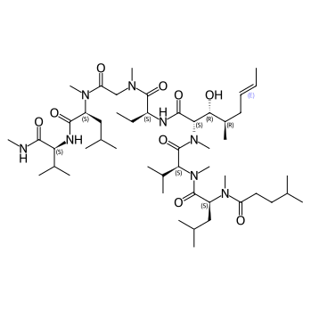 C/C=C/C[C@@H](C)[C@@H](O)[C@@H](C(=O)N[C@@H](CC)C(=O)N(C)CC(=O)N(C)[C@@H](CC(C)C)C(=O)N[C@H](C(=O)NC)C(C)C)N(C)C(=O)[C@H](C(C)C)N(C)C(=O)[C@H](CC(C)C)N(C)C(=O)CCC(C)C